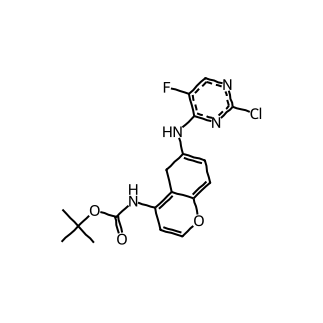 CC(C)(C)OC(=O)NC1=C2CC(Nc3nc(Cl)ncc3F)=CC=C2OC=C1